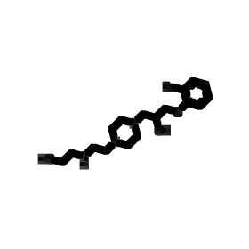 OCCNCCN1CCN(CC(O)COc2ccccc2Br)CC1